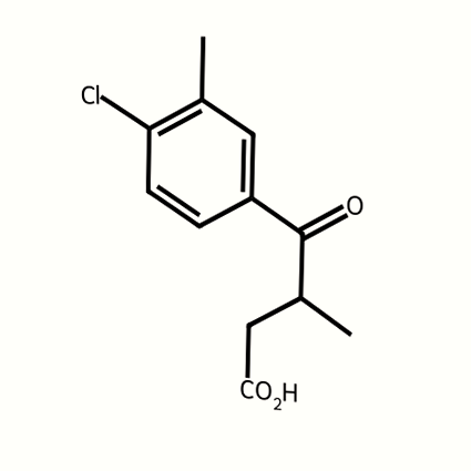 Cc1cc(C(=O)C(C)CC(=O)O)ccc1Cl